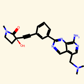 CN(C)Cc1cnc(N)c2nc(-c3cccc(C#C[C@]4(O)CCN(C)C4=O)c3)ncc12